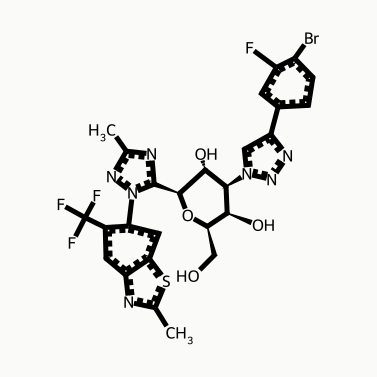 Cc1nc([C@@H]2O[C@H](CO)[C@H](O)[C@H](n3cc(-c4ccc(Br)c(F)c4)nn3)[C@H]2O)n(-c2cc3sc(C)nc3cc2C(F)(F)F)n1